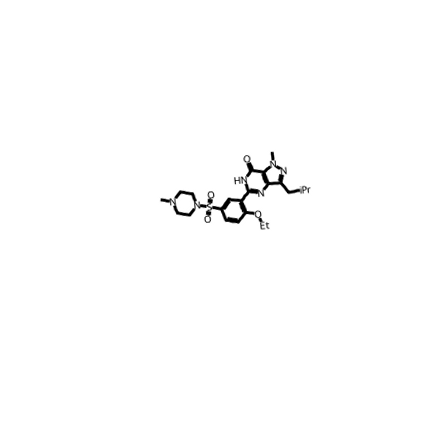 CCOc1ccc(S(=O)(=O)N2CCN(C)CC2)cc1-c1nc2c(CC(C)C)nn(C)c2c(=O)[nH]1